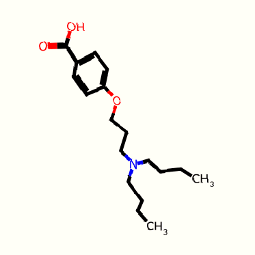 CCCCN(CCCC)CCCOc1ccc(C(=O)O)cc1